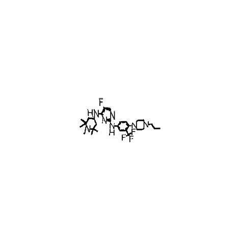 CCCN1CCN(c2ccc(Nc3ncc(F)c(NC4CC(C)(C)N(C)C(C)(C)C4)n3)cc2C(F)(F)F)CC1